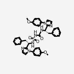 COc1ccc(-n2ccnc2[C@H](Cc2ccccc2)NC(=O)NS(=O)(=O)N[C@@H](Cc2ccccc2)c2nccn2-c2ccc(OC)cc2)cc1